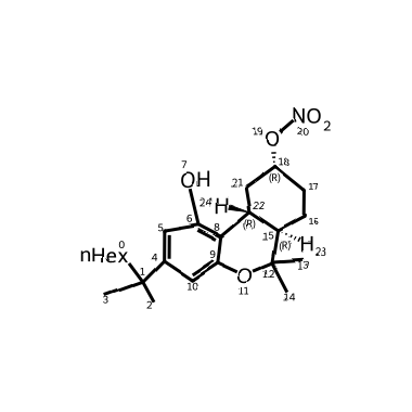 CCCCCCC(C)(C)c1cc(O)c2c(c1)OC(C)(C)[C@@H]1CC[C@@H](O[N+](=O)[O-])C[C@@H]21